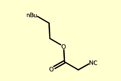 [C-]#[N+]CC(=O)OCCCCCC